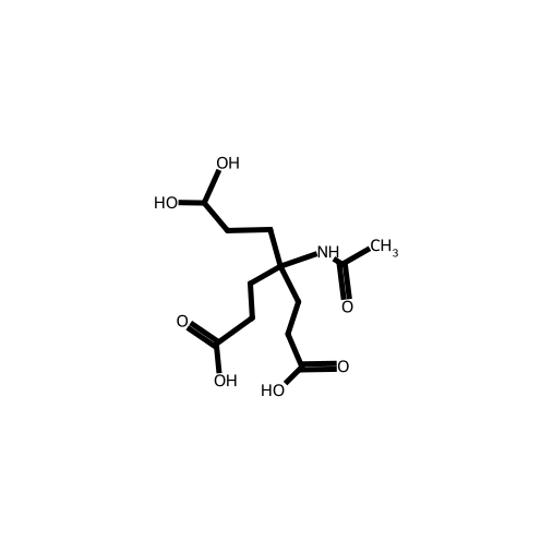 CC(=O)NC(CCC(=O)O)(CCC(=O)O)CCC(O)O